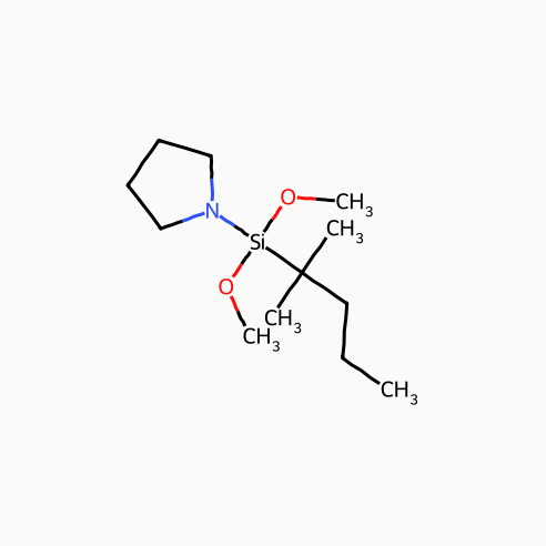 CCCC(C)(C)[Si](OC)(OC)N1CCCC1